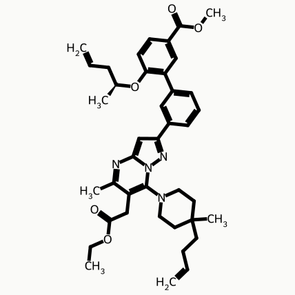 C=CCCC1(C)CCN(c2c(CC(=O)OCC)c(C)nc3cc(-c4cccc(-c5cc(C(=O)OC)ccc5O[C@@H](C)CC=C)c4)nn23)CC1